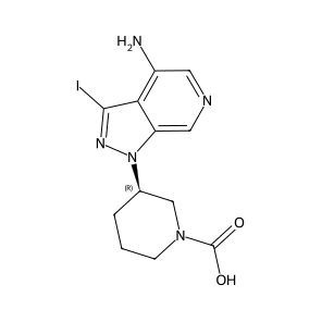 Nc1cncc2c1c(I)nn2[C@@H]1CCCN(C(=O)O)C1